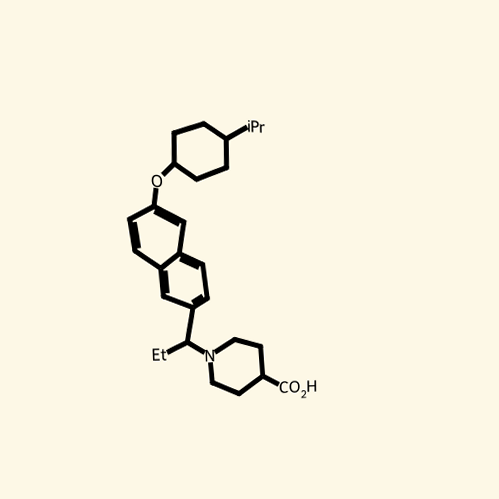 CCC(c1ccc2cc(OC3CCC(C(C)C)CC3)ccc2c1)N1CCC(C(=O)O)CC1